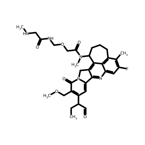 CCC(C=O)c1cc2n(c(=O)c1COC)Cc1c-2nc2cc(F)c(C)c3c2c1C(N(C)C(=O)COCNC(=O)CNC)CCC3